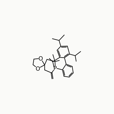 C=C1CC2(CC(C)(C)P1c1ccccc1-c1c(C(C)C)cc(C(C)C)cc1C(C)C)OCCO2